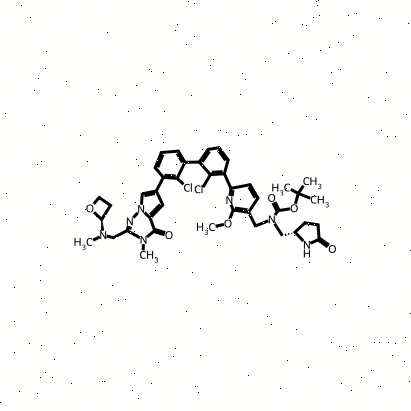 COc1nc(-c2cccc(-c3cccc(-c4cc5c(=O)n(C)c(CN(C)[C@@H]6CCO6)nn5c4)c3Cl)c2Cl)ccc1CN(C[C@@H]1CCC(=O)N1)C(=O)OC(C)(C)C